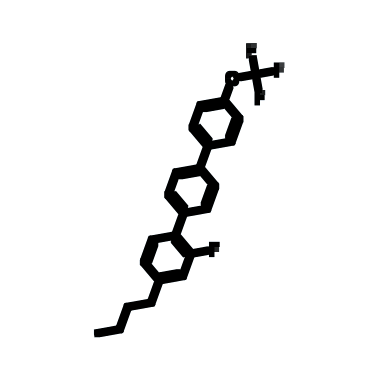 CCCCc1ccc(-c2ccc(-c3ccc(OC(F)(F)F)cc3)cc2)c(F)c1